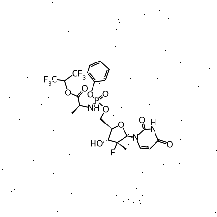 C[C@H](NP(=O)(OC[C@H]1O[C@@H](n2ccc(=O)[nH]c2=O)[C@](C)(F)[C@@H]1O)Oc1ccccc1)C(=O)OC(C(F)(F)F)C(F)(F)F